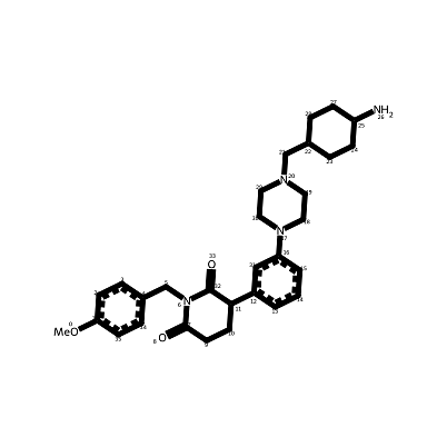 COc1ccc(CN2C(=O)CCC(c3cccc(N4CCN(CC5CCC(N)CC5)CC4)c3)C2=O)cc1